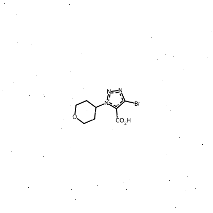 O=C(O)c1c(Br)nnn1C1CCOCC1